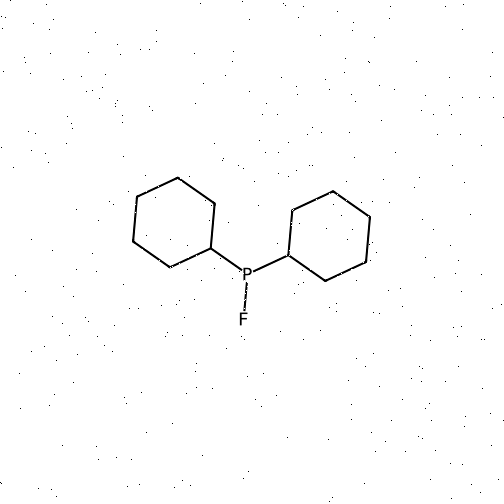 FP(C1CCCCC1)C1CCCCC1